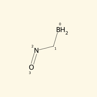 BCN=O